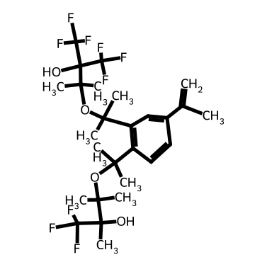 C=C(C)c1ccc(C(C)(C)OC(C)(C)C(C)(O)C(F)(F)F)c(C(C)(C)OC(C)(C)C(O)(C(F)(F)F)C(F)(F)F)c1